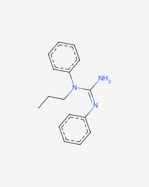 CCCN(C(N)=Nc1ccccc1)c1ccccc1